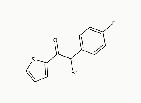 O=C(c1cccs1)C(Br)c1ccc(F)cc1